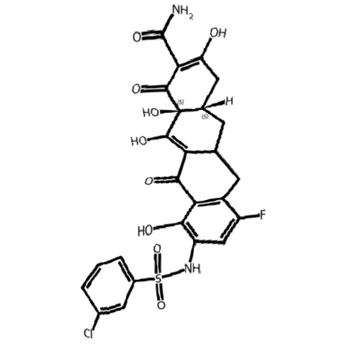 NC(=O)C1=C(O)C[C@@H]2CC3Cc4c(F)cc(NS(=O)(=O)c5cccc(Cl)c5)c(O)c4C(=O)C3=C(O)[C@]2(O)C1=O